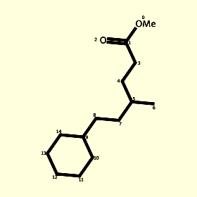 COC(=O)CCC(C)CCC1CCCCC1